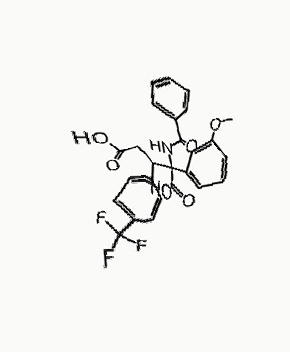 COc1cccc(C(NC(=O)c2ccccc2)(C(=O)O)C(CC(=O)O)c2ccc(C(F)(F)F)cc2)c1